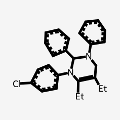 CCC1=C(CC)N(c2ccc(Cl)cc2)C(c2ccccc2)N(c2ccccc2)C1